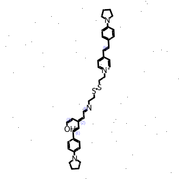 O\C=C/C(=C\C=N\CCSSCC[n+]1ccc(/C=C/c2ccc(N3CCCC3)cc2)cc1)/C=C/c1ccc(N2CCCC2)cc1